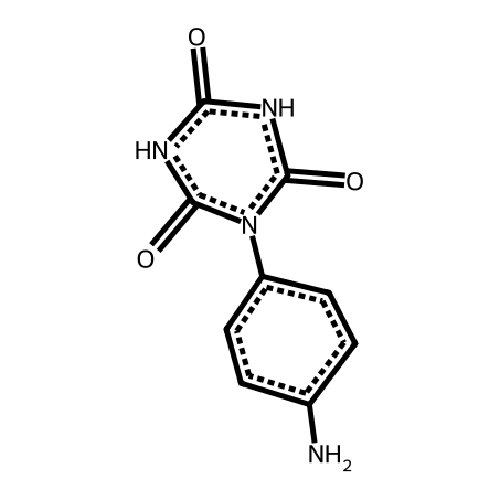 Nc1ccc(-n2c(=O)[nH]c(=O)[nH]c2=O)cc1